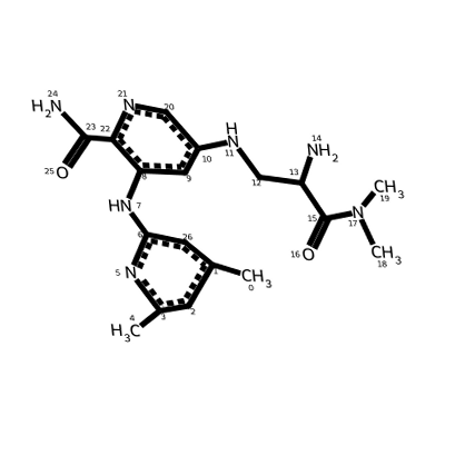 Cc1cc(C)nc(Nc2cc(NCC(N)C(=O)N(C)C)cnc2C(N)=O)c1